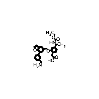 CCOC(=O)NC(C)c1ccc(CC(=O)O)c(OCc2cc(-c3cccc(CN)c3)c3occc3c2)c1